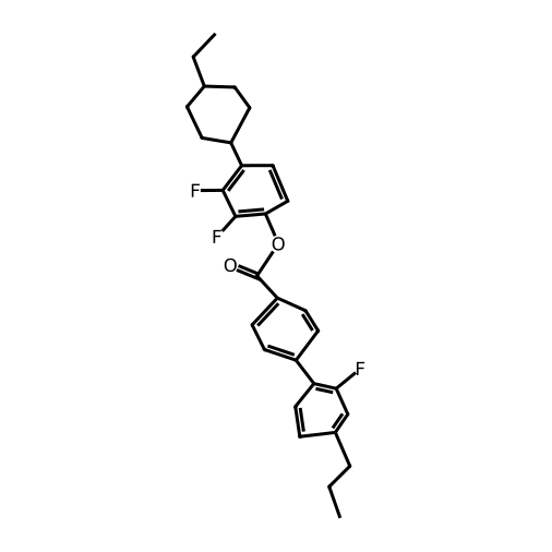 CCCc1ccc(-c2ccc(C(=O)Oc3ccc(C4CCC(CC)CC4)c(F)c3F)cc2)c(F)c1